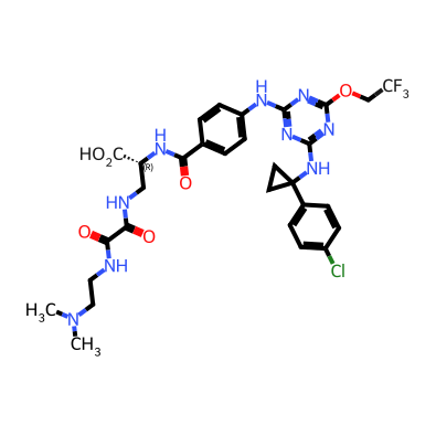 CN(C)CCNC(=O)C(=O)NC[C@@H](NC(=O)c1ccc(Nc2nc(NC3(c4ccc(Cl)cc4)CC3)nc(OCC(F)(F)F)n2)cc1)C(=O)O